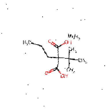 CCCC(C(=O)O)(C(=O)O)C(C)(C)C.[MgH2]